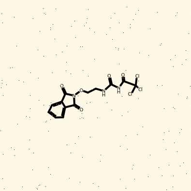 O=C(NCCON1C(=O)c2ccccc2C1=O)NC(=O)C(Cl)(Cl)Cl